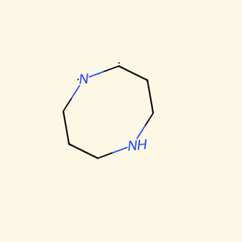 [CH]1CCNCCC[N]1